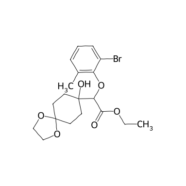 CCOC(=O)C(Oc1c(C)cccc1Br)C1(O)CCC2(CC1)OCCO2